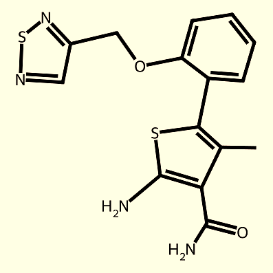 Cc1c(-c2ccccc2OCc2cnsn2)sc(N)c1C(N)=O